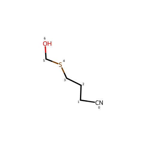 N#CCCCSCO